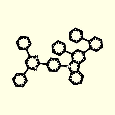 c1ccc(-c2cc(-c3ccccc3)nc(-c3ccc(-n4c5ccccc5c5cc(-c6ccccc6-c6ccccc6)cc(-c6ccccc6)c54)cc3)n2)cc1